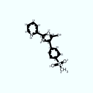 CS(=O)(=O)c1ccc(-c2nc(-c3ccccn3)oc2I)cc1